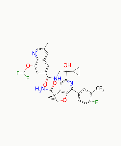 Cc1cnc2c(OC(F)F)cc(C(=O)NCC(O)(c3cc4c(c(-c5ccc(F)c(C(F)(F)F)c5)n3)OC[C@]4(C)C(N)=O)C3CC3)cc2c1